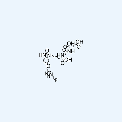 O=C(O)CC[C@H](NC(=O)CN[C@@H](CCCCn1c(=O)[nH]c2ccc(OCc3cn(CCF)nn3)cc21)C(=O)O)C(=O)O